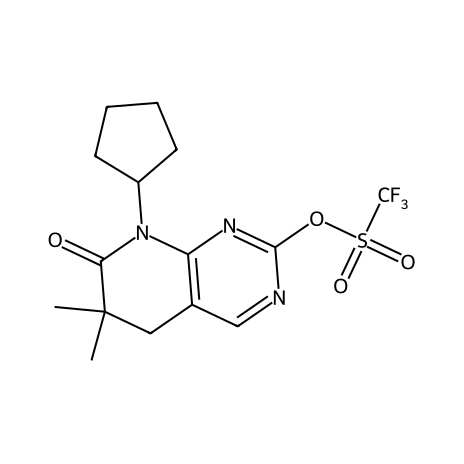 CC1(C)Cc2cnc(OS(=O)(=O)C(F)(F)F)nc2N(C2CCCC2)C1=O